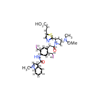 CON(C)[C@H]1CC(c2ncc(CCC(=O)O)s2)N(C(=O)Cc2cc(CI)c(NC(=O)c3cn(C)c4ccccc34)cc2CI)C1